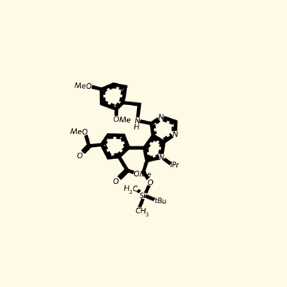 COC(=O)c1ccc(-c2c(CO[Si](C)(C)C(C)(C)C)n(C(C)C)c3ncnc(NCc4ccc(OC)cc4OC)c23)c(C(=O)OC)c1